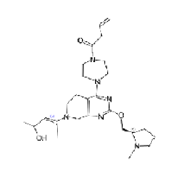 C=CCC(=O)N1CCN(c2nc(OC[C@H]3CCCN3C)nc3c2CCN(/C(C)=C/C(C)O)C3)CC1